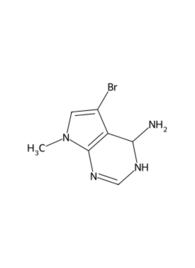 Cn1cc(Br)c2c1N=CNC2N